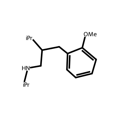 COc1ccccc1CC(CNC(C)C)C(C)C